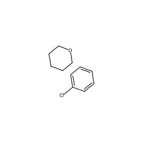 C1CCOCC1.Clc1ccccc1